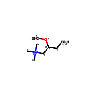 C[N+](C)(C)C[C@@H](CC(=O)O)OC=O